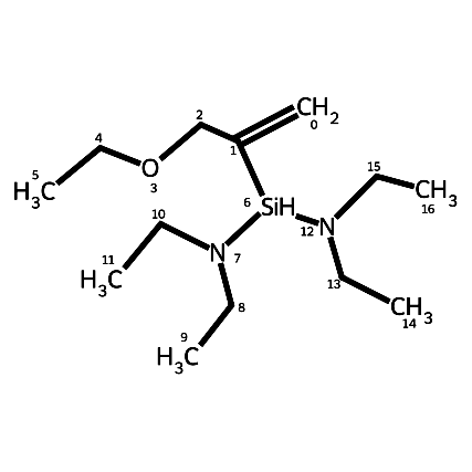 C=C(COCC)[SiH](N(CC)CC)N(CC)CC